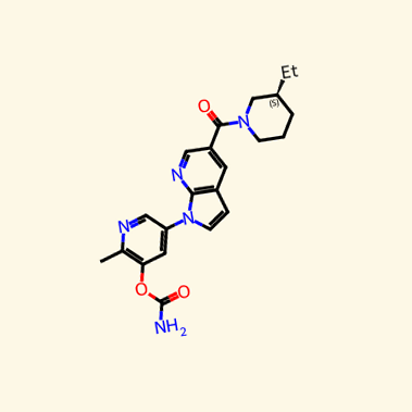 CC[C@H]1CCCN(C(=O)c2cnc3c(ccn3-c3cnc(C)c(OC(N)=O)c3)c2)C1